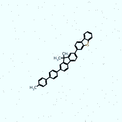 Cc1ccc(-c2ccc(-c3ccc4c(c3)C(C)(C)c3cc(-c5ccc6c(c5)sc5ccccc56)ccc3-4)cc2)cc1